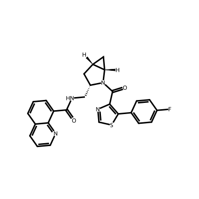 O=C(NC[C@@H]1C[C@@H]2C[C@@H]2N1C(=O)c1ncsc1-c1ccc(F)cc1)c1cccc2cccnc12